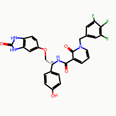 O=C(N[C@@H](COc1ccc2[nH]c(=O)[nH]c2c1)c1ccc(O)cc1)c1cccn(Cc2cc(F)c(F)c(F)c2)c1=O